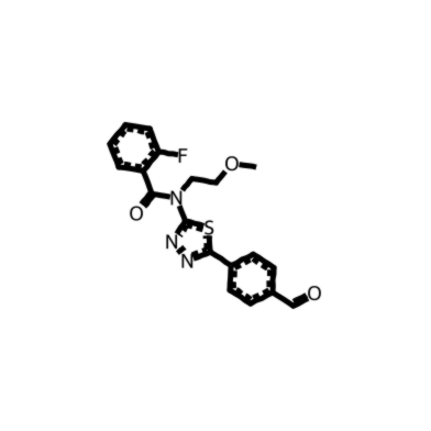 COCCN(C(=O)c1ccccc1F)c1nnc(-c2ccc(C=O)cc2)s1